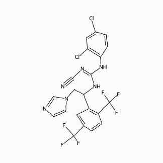 N#CN=C(Nc1ccc(Cl)cc1Cl)NC(Cn1ccnc1)c1cc(C(F)(F)F)ccc1C(F)(F)F